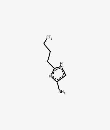 Nc1c[nH]c(CCCC(F)(F)F)n1